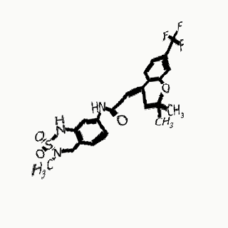 CN1Cc2ccc(NC(=O)C=C3CC(C)(C)Oc4cc(C(F)(F)F)ccc43)cc2NS1(=O)=O